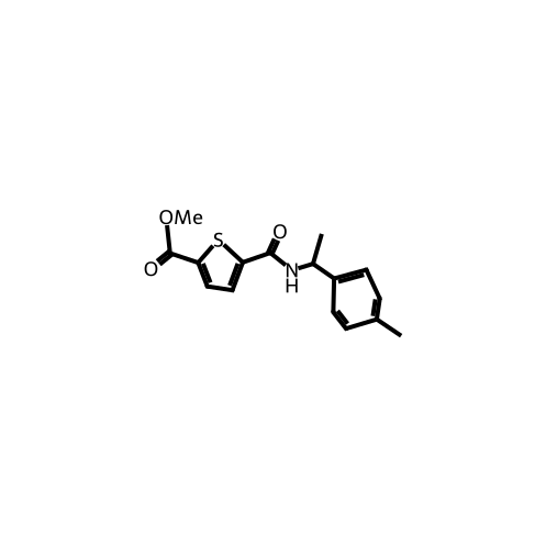 COC(=O)c1ccc(C(=O)NC(C)c2ccc(C)cc2)s1